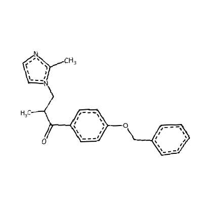 Cc1nccn1CC(C)C(=O)c1ccc(OCc2ccccc2)cc1